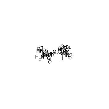 C[C@@H](C(=O)N[C@H](C(=O)N1C[C@@H](NC(=O)CCCC(=O)NCCC[C@H](NC(=O)OCc2ccccc2)C(=O)N2C[C@@H](N)CC2C(=O)NC2CCCc3ccccc32)C[C@H]1C(=O)NC1CCCc2ccccc21)C(C)(C)C)N(C)C